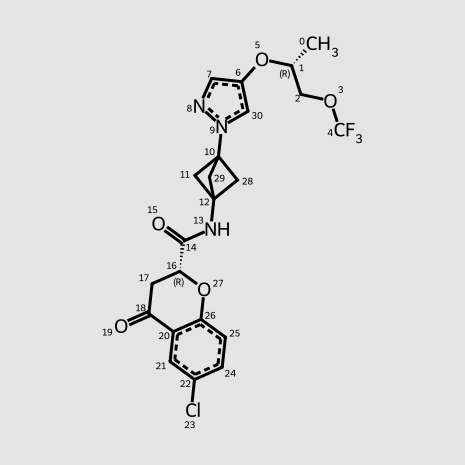 C[C@H](COC(F)(F)F)Oc1cnn(C23CC(NC(=O)[C@H]4CC(=O)c5cc(Cl)ccc5O4)(C2)C3)c1